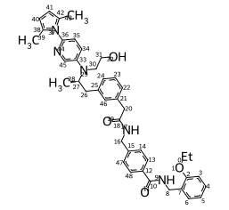 CCOc1ccccc1CNC(=O)c1ccc(CNC(=O)Cc2cccc(C[C@@H](C)N(CCO)c3ccc(-n4c(C)ccc4C)nc3)c2)cc1